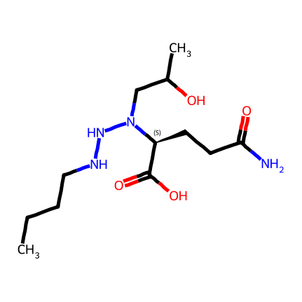 CCCCNNN(CC(C)O)[C@@H](CCC(N)=O)C(=O)O